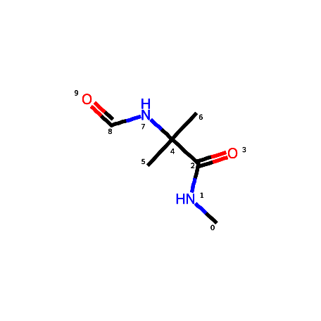 CNC(=O)C(C)(C)NC=O